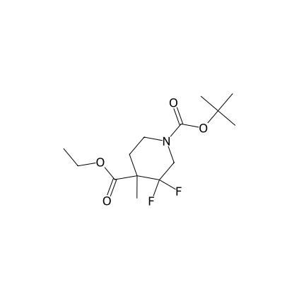 CCOC(=O)C1(C)CCN(C(=O)OC(C)(C)C)CC1(F)F